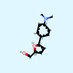 CN(C)c1ccc(-c2ccc(C=O)o2)cc1